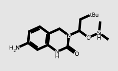 C[SiH](C)OC(CC(C)(C)C)N1Cc2ccc(N)cc2NC1=O